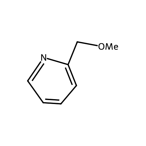 [C]OCc1ccccn1